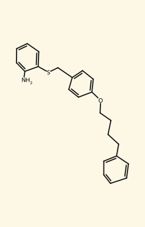 Nc1ccccc1SCc1ccc(OCCCCc2ccccc2)cc1